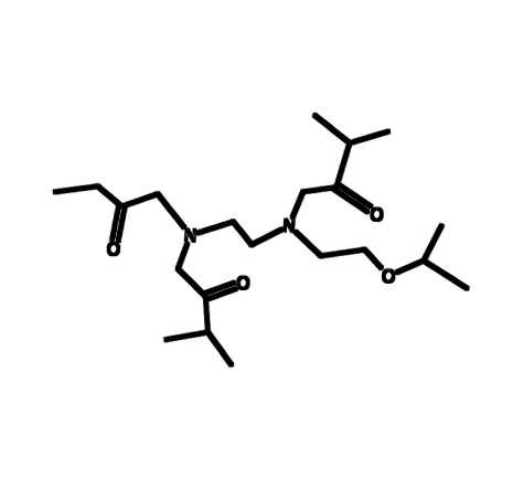 CCC(=O)CN(CCN(CCOC(C)C)CC(=O)C(C)C)CC(=O)C(C)C